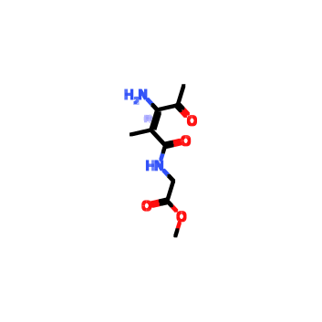 COC(=O)CNC(=O)/C(C)=C(/N)C(C)=O